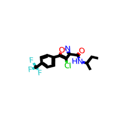 CCC(C)NC(=O)c1noc(-c2ccc(C(F)(F)F)cc2)c1Cl